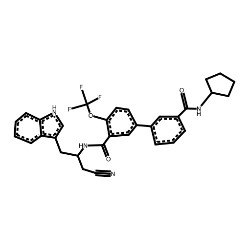 N#CCC(Cc1c[nH]c2ccccc12)NC(=O)c1cc(-c2cccc(C(=O)NC3CCCC3)c2)ccc1OC(F)(F)F